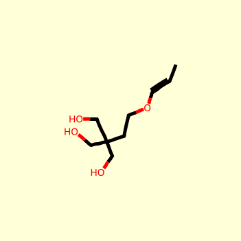 CC=COCCC(CO)(CO)CO